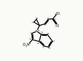 CCC(=O)/C=C/C1(n2cc([N+](=O)[O-])c3ccccc32)CC1